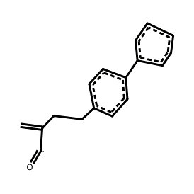 C=C([C]=O)CCc1ccc(-c2ccccc2)cc1